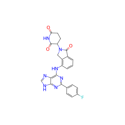 O=C1CCC(N2Cc3c(Nc4nc(-c5ccc(F)cc5)nc5[nH]cnc45)cccc3C2=O)C(=O)N1